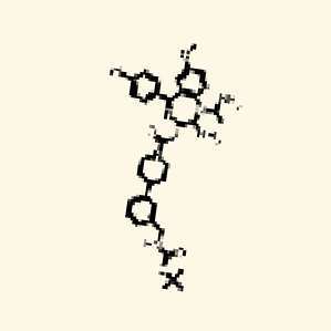 COc1ccc2c(c1)C(c1ccc(Cl)cc1)=N[C@@H](CC(=O)N1CCC(c3cccc(CNC(=O)OC(C)(C)C)c3)CC1)C(N)N2C(C)N